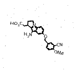 COc1ccc(COc2ccc3c(c2)c(N)c2n3CCC2CC(=O)O)cc1C#N